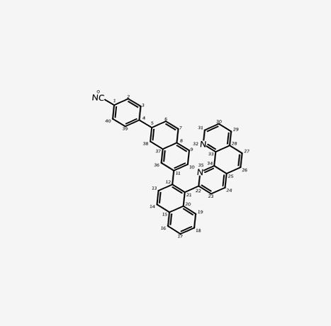 N#Cc1ccc(-c2ccc3ccc(-c4ccc5ccccc5c4-c4ccc5ccc6cccnc6c5n4)cc3c2)cc1